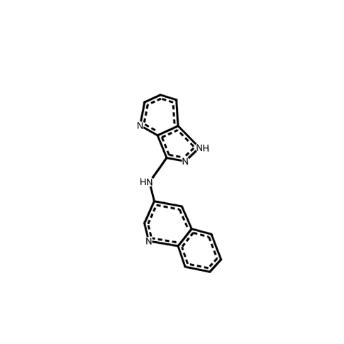 c1ccc2ncc(Nc3n[nH]c4cccnc34)cc2c1